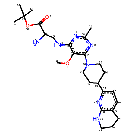 COc1c(NCC(N)C(=O)OC(C)(C)C)nc(C)nc1N1CCC(c2ccc3c(n2)NCCC3)CC1